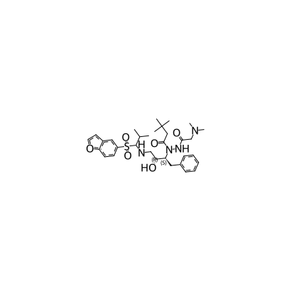 CC(C)C(NC[C@@H](O)[C@H](Cc1ccccc1)N(NC(=O)CN(C)C)C(=O)CC(C)(C)C)S(=O)(=O)c1ccc2occc2c1